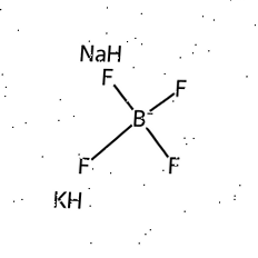 F[B-](F)(F)F.[KH].[NaH]